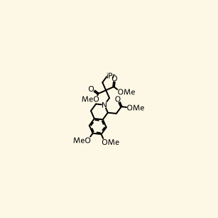 COC(=O)CC1c2cc(OC)c(OC)cc2CCN1CC(CC(C)C)(C(=O)OC)C(=O)OC